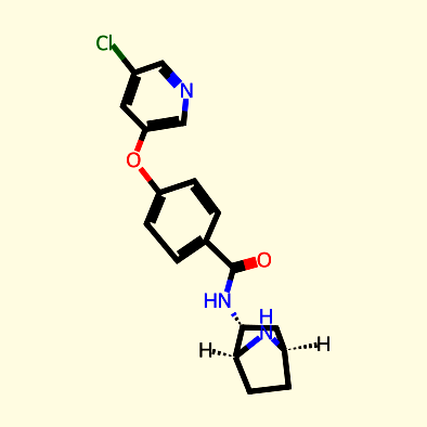 O=C(N[C@@H]1C[C@H]2CC[C@@H]1N2)c1ccc(Oc2cncc(Cl)c2)cc1